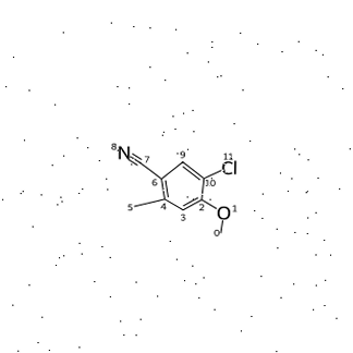 COc1cc(C)c(C#N)cc1Cl